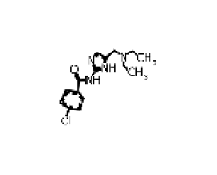 CCN(CC)Cc1cnc(NC(=O)c2ccc(Cl)cc2)[nH]1